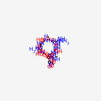 CC[C@H](C)[C@@H]1NC(=O)[C@@H](CCCNC(=N)N)NC(=O)[C@H](CC(C)C)NC(=O)[C@H]([C@H](O)C(C)C)NC(=O)[C@@H](NC(=O)[C@H](Cc2ccc([N+](=O)[O-])cc2)NC(=O)[C@@H](CC(C)C)NC(=O)OC(C)(C)C)[C@@H](c2ccccc2)OC(=O)[C@H](CO)NC(=O)[C@H]([C@H](O)C(N)=O)NC(=O)CNC(=O)[C@H]([C@H](C)O)NC1=O